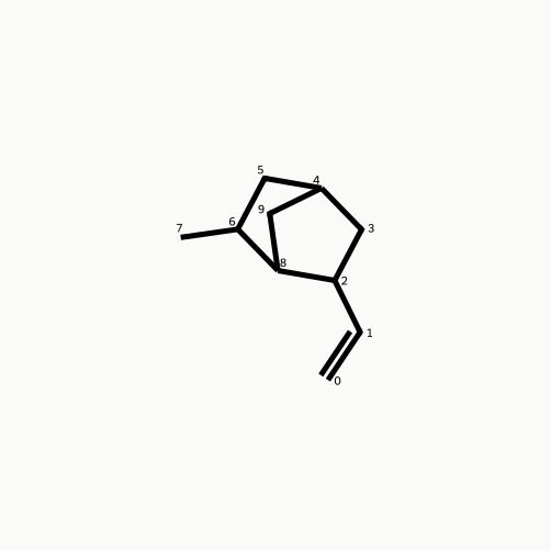 C=CC1CC2CC(C)C1C2